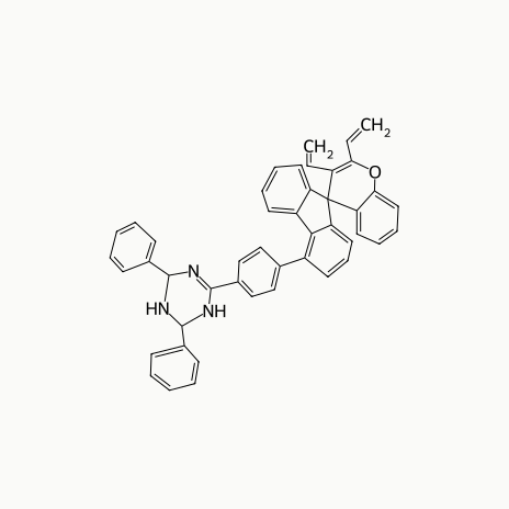 C=CC1=C(C=C)C2(c3ccccc3O1)c1ccccc1-c1c(-c3ccc(C4=NC(c5ccccc5)NC(c5ccccc5)N4)cc3)cccc12